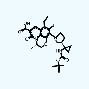 CCc1c(F)c(N2CC[C@@H](C3(NC(=O)OC(C)(C)C)CC3)C2)c2c3c1cc(C(=O)O)c(=O)n3[C@@H](C)CO2